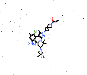 C=CC(=O)N1CC2(CC(n3nc(N4CCC(N5CC(C)(C#N)C5)CC4(C)C)c(-c4c(Cl)c(C)cc5[nH]ncc45)c3C)C2)C1